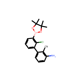 CC1(C)OB(c2cccc(-c3cccc(N)c3C#N)c2Cl)OC1(C)C